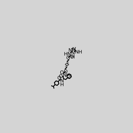 CC(C)C1CCC(C(=O)NC(Cc2ccccc2)C(=O)NC(=O)OCCSSCCOC(=O)NC(=N)NC(=N)N(C)C)CC1